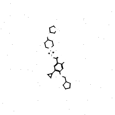 O=C(NS(=O)(=O)N1CCC(O[C@H]2CCNC2)CC1)c1cc(C2CC2)c(OCC2CCCC2)cc1F